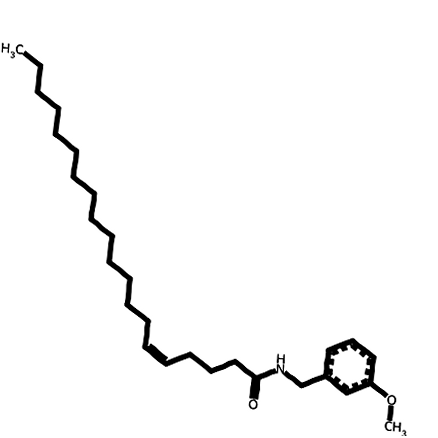 CCCCCCCCCCCCCC/C=C\CCCC(=O)NCc1cccc(OC)c1